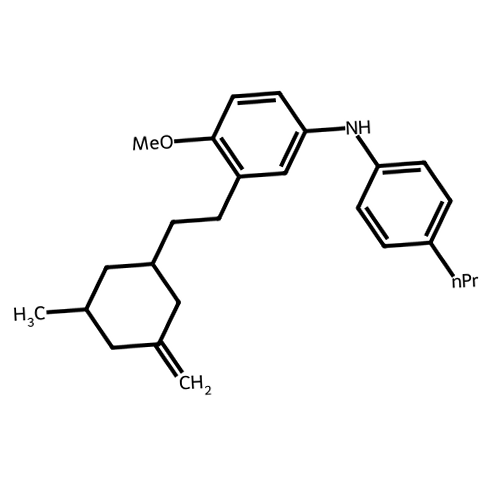 C=C1CC(C)CC(CCc2cc(Nc3ccc(CCC)cc3)ccc2OC)C1